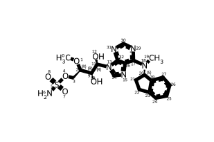 CO[C@H](COS(N)(=O)=O)[C@@H](O)[C@@H](O)n1cnc2c(N(C)[C@H]3CCc4ccccc43)ncnc21